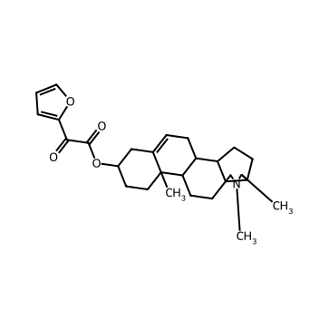 CC1C2CCC3C4CC=C5CC(OC(=O)C(=O)c6ccco6)CCC5(C)C4CCC32CN1C